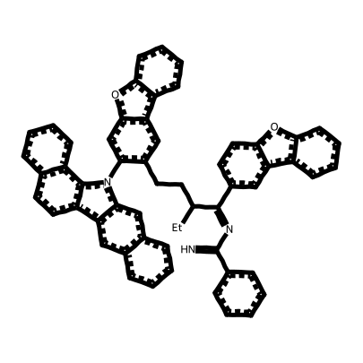 CCC(CCc1cc2c(cc1-n1c3cc4ccccc4cc3c3ccc4ccccc4c31)oc1ccccc12)/C(=N\C(=N)c1ccccc1)c1ccc2oc3ccccc3c2c1